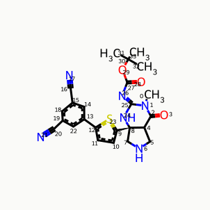 CN1C(=O)C2CNC[C@]2(c2ccc(-c3cc(C#N)cc(C#N)c3)s2)N/C1=N/C(=O)OC(C)(C)C